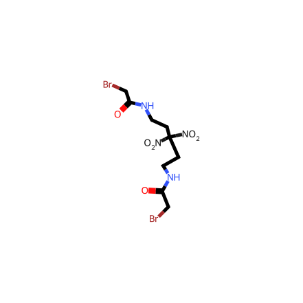 O=C(CBr)NCCC(CCNC(=O)CBr)([N+](=O)[O-])[N+](=O)[O-]